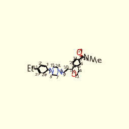 CCc1ccc(N2CCN(CC[C@@H]3OCCc4cc(C(=O)NC)ccc43)CC2)cc1